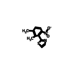 Cc1ccc([N+](=O)[O-])c(-c2nccs2)c1C